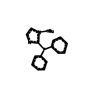 CCCCn1ccnc1P(c1ccccc1)c1ccccc1